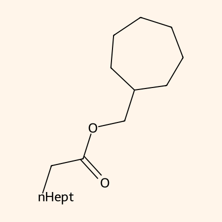 [CH2]CCCCCCCC(=O)OCC1CCCCCC1